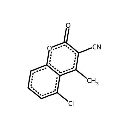 Cc1c(C#N)c(=O)oc2cccc(Cl)c12